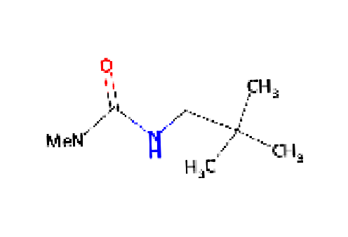 CNC(=O)NCC(C)(C)C